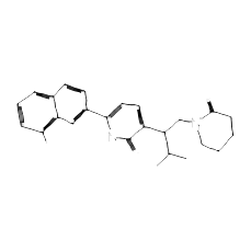 CC(C)C(CN1CCCCC1=O)c1ccc(-c2ccc3cccc(F)c3c2)[nH]c1=O